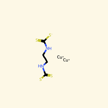 S=C([S-])NCCNC(=S)[S-].[Cu+].[Cu+]